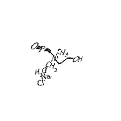 C[N+](C)(C#P=O)CCO.O.[Cl-].[Na]